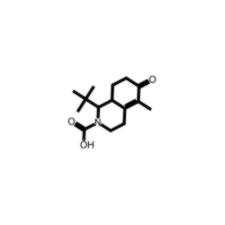 CC1=C2CCN(C(=O)O)C(C(C)(C)C)C2CCC1=O